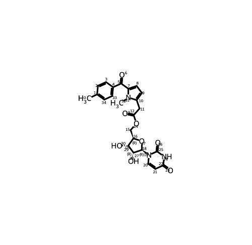 Cc1ccc(C(=O)c2ccc(CC(=O)OC[C@H]3O[C@@H](n4ccc(=O)[nH]c4=O)[C@H](O)[C@@H]3O)n2C)cc1